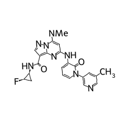 CNc1cc(Nc2cccn(-c3cncc(C)c3)c2=O)nc2c(C(=O)N[C@H]3C[C@H]3F)cnn12